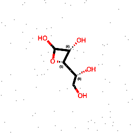 OC[C@@H](O)[C@@H]1OC(O)[C@@H]1O